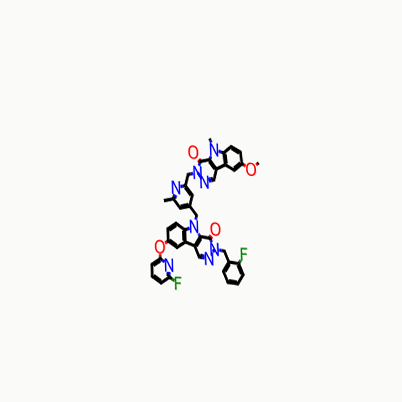 COc1ccc2c(c1)c1cnn(Cc3cc(Cn4c5ccc(Oc6cccc(F)n6)cc5c5cnn(Cc6ccccc6F)c(=O)c54)cc(C)n3)c(=O)c1n2C